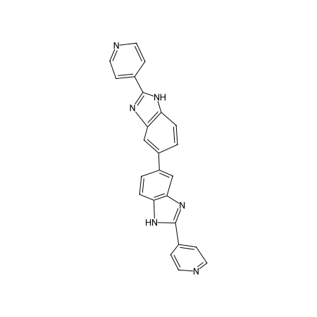 c1cc(-c2nc3cc(-c4ccc5[nH]c(-c6ccncc6)nc5c4)ccc3[nH]2)ccn1